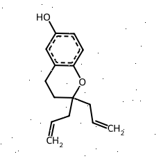 C=CCC1(CC=C)CCc2cc(O)ccc2O1